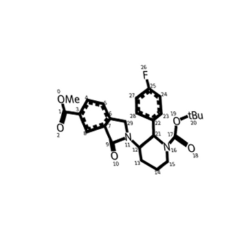 COC(=O)c1ccc2c(c1)C(=O)N(C1CCCN(C(=O)OC(C)(C)C)C1c1ccc(F)cc1)C2